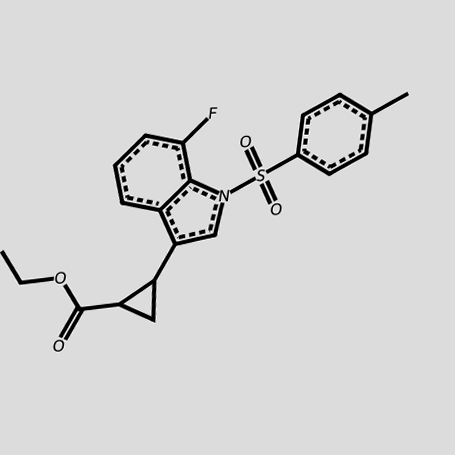 CCOC(=O)C1CC1c1cn(S(=O)(=O)c2ccc(C)cc2)c2c(F)cccc12